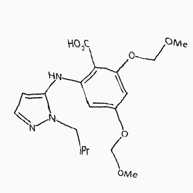 COCOc1cc(Nc2ccnn2CC(C)C)c(C(=O)O)c(OCOC)c1